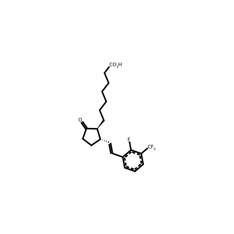 O=C(O)CCCCCC[C@@H]1C(=O)CC[C@H]1C=Cc1cccc(C(F)(F)F)c1F